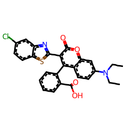 CCN(CC)c1ccc2c(-c3ccccc3C(=O)O)c(-c3nc4cc(Cl)ccc4s3)c(=O)oc2c1